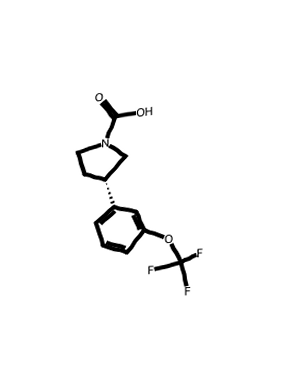 O=C(O)N1CC[C@@H](c2cccc(OC(F)(F)F)c2)C1